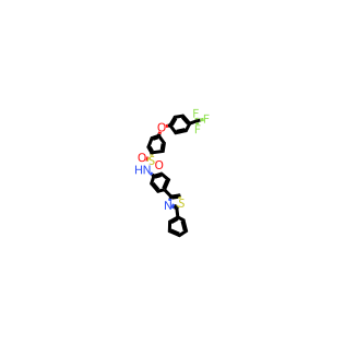 O=S(=O)(Nc1ccc(-c2csc(-c3ccccc3)n2)cc1)c1ccc(Oc2ccc(C(F)(F)F)cc2)cc1